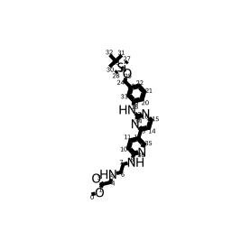 COC(=O)CNCCNc1ccc(-c2ccnc(Nc3cccc(CO[Si](C)(C)C(C)(C)C)c3)n2)cn1